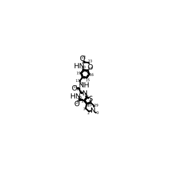 CN1CCc2c(sc3nc(C(=O)NCc4ccc5c(c4)NC(=O)CO5)[nH]c(=O)c23)C1